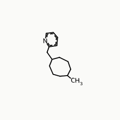 CC1CCCC(Cc2ccccn2)CCC1